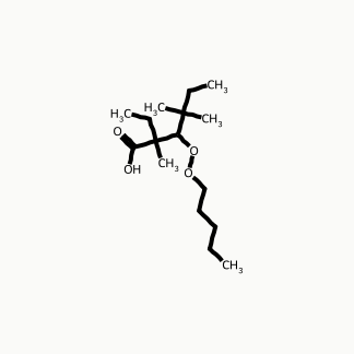 CCCCCOOC(C(C)(C)CC)C(C)(CC)C(=O)O